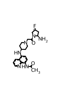 CC(=O)Nc1ccc(NC2CCN(CC(=O)N3C[C@@H](F)CC3N)CC2)c2cccnc12